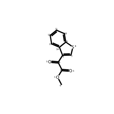 COC(=O)C(=O)c1csc2ccccc12